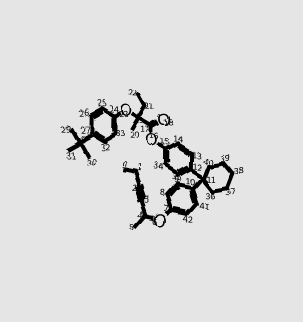 CCC#CC(C)Oc1ccc(C2(c3ccc(OC(=O)C(C)(CC)Oc4ccc(C(C)(C)C)cc4)cc3)CCCCC2)cc1